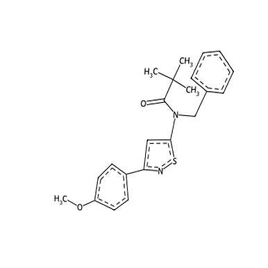 COc1ccc(-c2cc(N(Cc3ccccc3)C(=O)C(C)(C)C)sn2)cc1